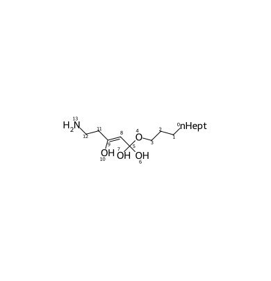 CCCCCCCCCCOC(O)(O)C=C(O)CCN